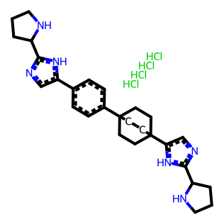 Cl.Cl.Cl.Cl.c1cc(C23CCC(c4cnc(C5CCCN5)[nH]4)(CC2)CC3)ccc1-c1cnc(C2CCCN2)[nH]1